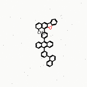 CC1CC=Cc2cc3c(oc4ccccc43)c(-c3ccc(-c4c5ccccc5c(-c5cccc(-c6cccc7ccccc67)c5)c5ccccc45)cc3)c21